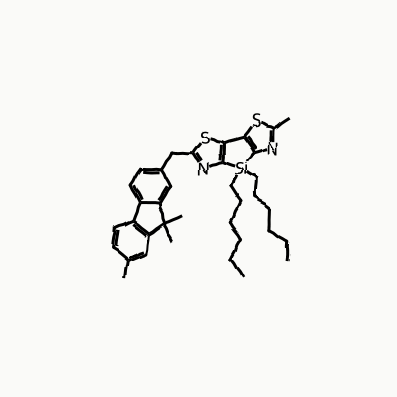 CCCCCC[Si]1(CCCCCC)c2nc(C)sc2-c2sc(Cc3ccc4c(c3)C(C)(C)c3cc(C)ccc3-4)nc21